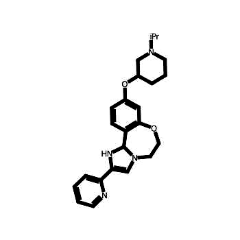 CC(C)N1CCCC(Oc2ccc3c(c2)OCCN2C=C(c4ccccn4)NC32)C1